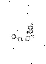 O=C(c1cc2cc(Cl)ccc2[nH]1)N1CCN(Cc2ccc(-c3ccccc3)cc2)CC1